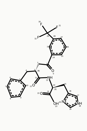 O=C(C[C@@H](Cc1ccccc1)C(=O)N[C@@H](Cc1c[nH]cn1)C(=O)O)c1cccc(C(F)(F)F)c1